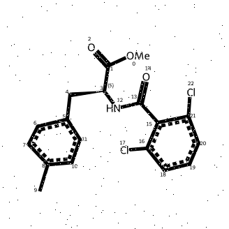 COC(=O)[C@H](Cc1ccc(C)cc1)NC(=O)c1c(Cl)cccc1Cl